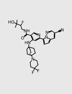 CC(C)(O)C(F)CNC(=O)c1cnc(-c2ccc3cc(C#N)cnn23)cc1NC12CCC(N3CCC(F)(F)CC3)(CC1)CC2